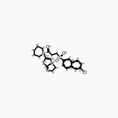 O=C(CCS(=O)(=O)c1ccc2cc(Cl)ccc2c1)[N+]1(C2=CN3CCN=C3S2)CCCCC1